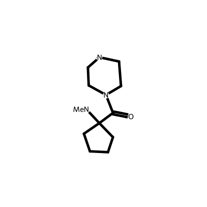 CNC1(C(=O)N2CC[N]CC2)CCCC1